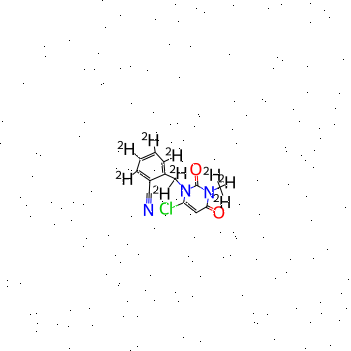 [2H]c1c([2H])c([2H])c(C([2H])([2H])n2c(Cl)cc(=O)n(C([2H])([2H])[2H])c2=O)c(C#N)c1[2H]